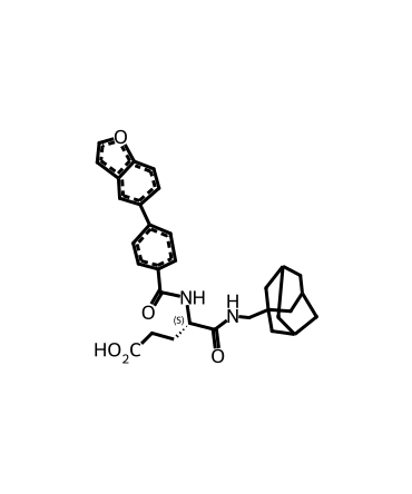 O=C(O)CC[C@H](NC(=O)c1ccc(-c2ccc3occc3c2)cc1)C(=O)NCC12CC3CC(CC(C3)C1)C2